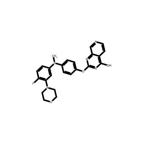 CN(c1ccc(Oc2nc(O)c3ccncc3n2)cc1)c1ccc(F)c(N2CCOCC2)c1